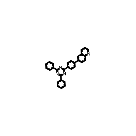 c1ccc(-c2nc(-c3ccccc3)nc(-c3ccc(-c4ccc5ncccc5c4)cc3)n2)cc1